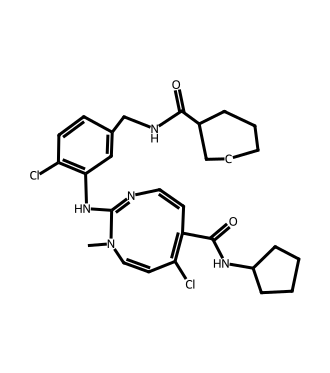 Cn1ccc(Cl)c(C(=O)NC2CCCC2)ccnc1Nc1cc(CNC(=O)C2CCCCC2)ccc1Cl